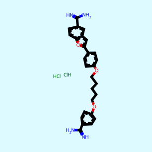 Cl.Cl.N=C(N)c1ccc(OCCCCCOc2ccc(-c3cc4cc(C(=N)N)ccc4o3)cc2)cc1